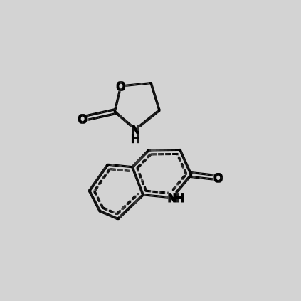 O=C1NCCO1.O=c1ccc2ccccc2[nH]1